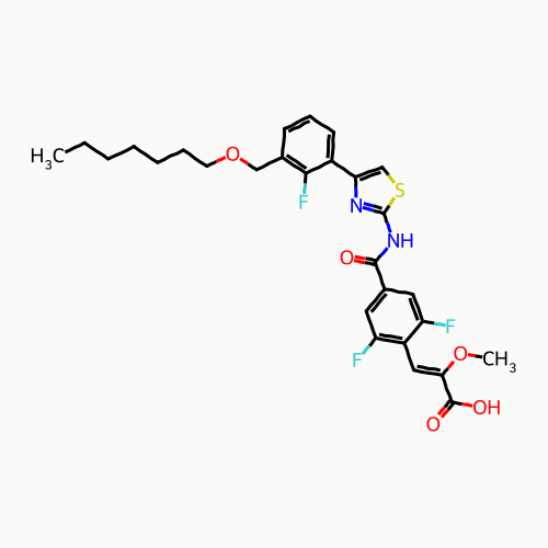 CCCCCCCOCc1cccc(-c2csc(NC(=O)c3cc(F)c(C=C(OC)C(=O)O)c(F)c3)n2)c1F